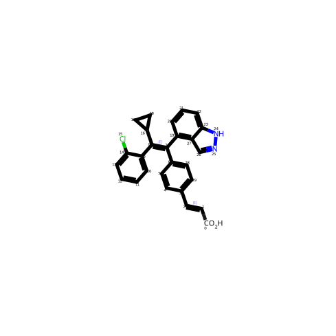 O=C(O)/C=C/c1ccc(/C(=C(\c2ccccc2Cl)C2CC2)c2cccc3[nH]ncc23)cc1